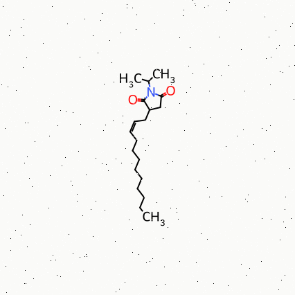 CCCCCCCCC/C=C\CC1CC(=O)N(C(C)C)C1=O